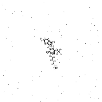 CCc1ccc2[nH]cc(C[C@H](NC(=O)OC(C)(C)C)C(=O)NCCCCCCO)c2c1